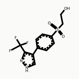 O=S(=O)(CCO)c1ccc(-c2c[nH]nc2C(F)(F)F)cc1